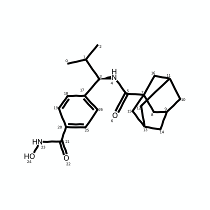 CC(C)[C@@H](NC(=O)C12CC3CC(CC(C3)C1)C2)c1ccc(C(=O)NO)cc1